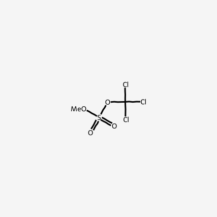 COS(=O)(=O)OC(Cl)(Cl)Cl